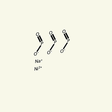 O=P[O-].O=P[O-].O=P[O-].[Na+].[Ni+2]